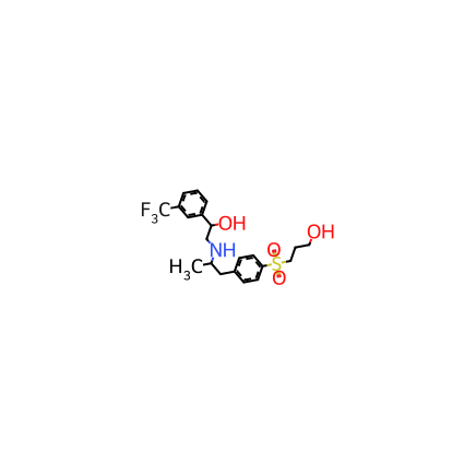 CC(Cc1ccc(S(=O)(=O)CCCO)cc1)NCC(O)c1cccc(C(F)(F)F)c1